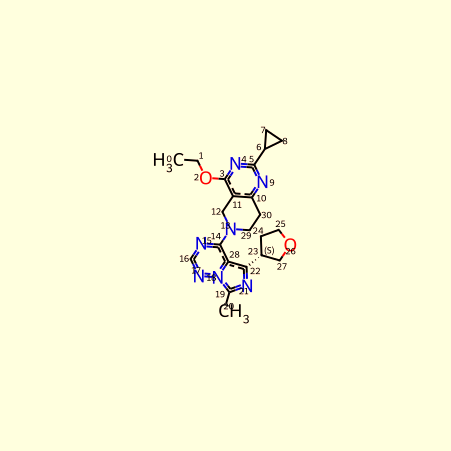 CCOc1nc(C2CC2)nc2c1CN(c1ncnn3c(C)nc([C@@H]4CCOC4)c13)CC2